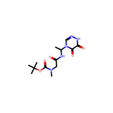 CC(NC(=O)CN(C)C(=O)OC(C)(C)C)n1[c]n[nH]c(=O)c1=O